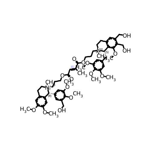 COc1cc2c(cc1OC)[C@@H](c1cc(CO)c(OC)c(OC)c1)[N@+](C)(CCCOC(=O)/C=C(\C)C(=O)OCCC[N@@+]1(C)CCc3cc(CO)c(CO)c(OC)c3[C@@H]1Cc1cc(OC)c(OC)c(OC)c1)CC2